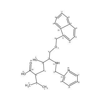 CC(C)C(CC(O)C(COCc1cccc2ccccc12)NCc1ccccn1)C(=O)O